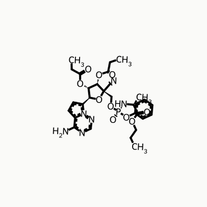 CCCOC(=O)[C@H](C)N[P@](=O)(OC[C@@]1(C#N)O[C@@H](c2ccc3c(N)ncnn23)[C@H](OC(=O)CC)[C@@H]1OC(=O)CC)Oc1ccccc1